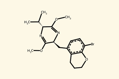 COC1=N[C@H](C(C)C)C(OC)=N[C@H]1Cc1ccc(Br)c2c1CCCO2